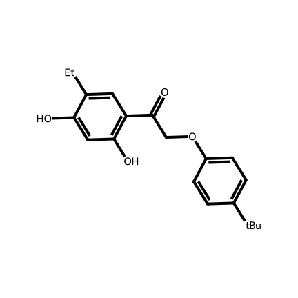 CCc1cc(C(=O)COc2ccc(C(C)(C)C)cc2)c(O)cc1O